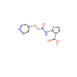 COC(=O)c1ccsc1NC(=O)CSc1ccncc1